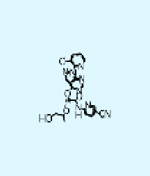 CC(CO)OC[C@H](Oc1ncnc2c1cnn2-c1ncccc1Cl)C(=O)Nc1ccc(C#N)cn1